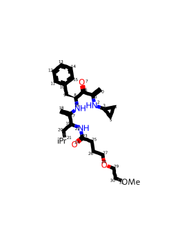 C=C(NC1CC1)C(=O)[C@H](Cc1ccccc1)NC(=C)C(CC(C)C)NC(=O)CCCOCCOC